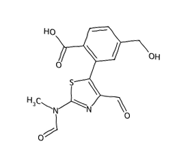 CN(C=O)c1nc(C=O)c(-c2cc(CO)ccc2C(=O)O)s1